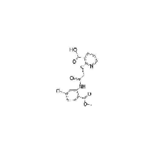 COC(=O)c1ccc(Cl)cc1NC(=O)CSc1ncccc1C(=O)O